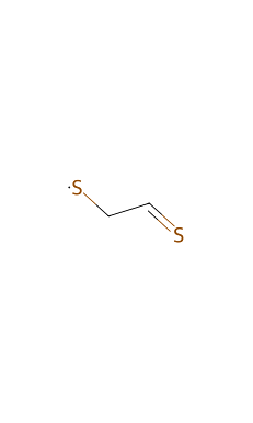 [S]CC=S